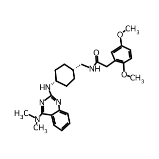 COc1ccc(OC)c(CC(=O)NC[C@H]2CC[C@@H](Nc3nc(N(C)C)c4ccccc4n3)CC2)c1